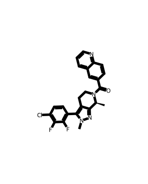 C[C@H]1c2nn(C)c(-c3ccc(Cl)c(F)c3F)c2CCN1C(=O)c1ccc2ncccc2c1